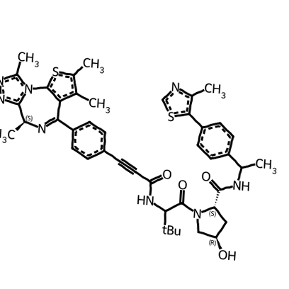 Cc1ncsc1-c1ccc(C(C)NC(=O)[C@@H]2C[C@@H](O)CN2C(=O)C(NC(=O)C#Cc2ccc(C3=N[C@@H](C)c4nnc(C)n4-c4sc(C)c(C)c43)cc2)C(C)(C)C)cc1